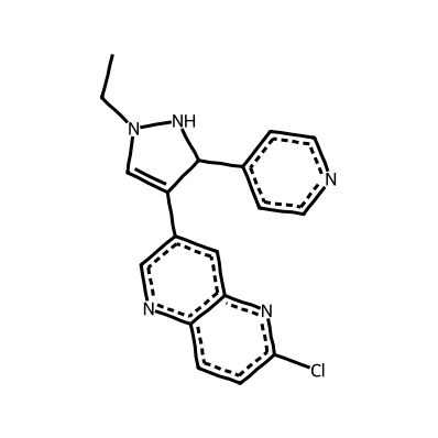 CCN1C=C(c2cnc3ccc(Cl)nc3c2)C(c2ccncc2)N1